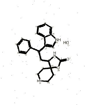 Cl.O=C1NC(CC(c2ccccc2)c2c[nH]c3ccccc23)C2(CCNCC2)O1